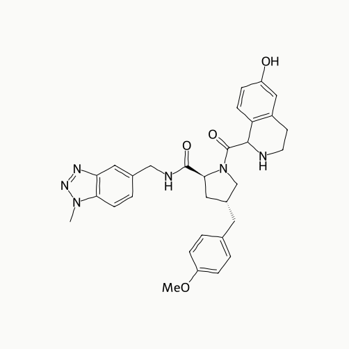 COc1ccc(C[C@@H]2C[C@@H](C(=O)NCc3ccc4c(c3)nnn4C)N(C(=O)C3NCCc4cc(O)ccc43)C2)cc1